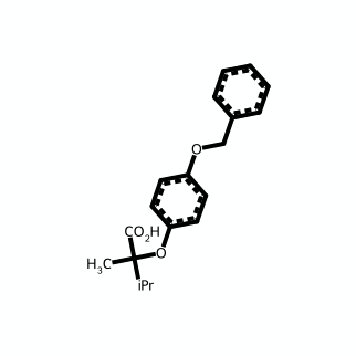 CC(C)C(C)(Oc1ccc(OCc2ccccc2)cc1)C(=O)O